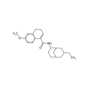 CCC1CC2CCC(NC(=O)C3=CCCc4cc(OC)ccc43)C(C1)C2